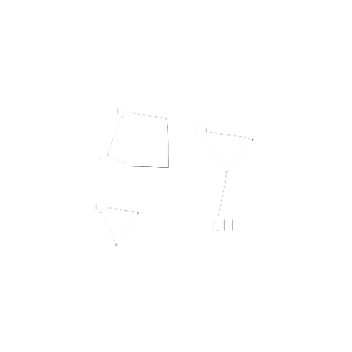 C1CCOC1.C1CO1.CC1CO1